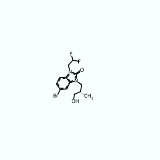 C[C@H](CO)Cn1c(=O)n(CC(F)F)c2ccc(Br)cc21